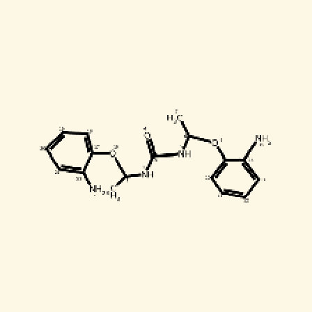 CC(NC(=O)NC(C)Oc1ccccc1N)Oc1ccccc1N